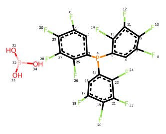 Fc1cc(P(c2cc(F)c(F)c(F)c2F)c2cc(F)c(F)c(F)c2F)c(F)c(F)c1F.OB(O)O